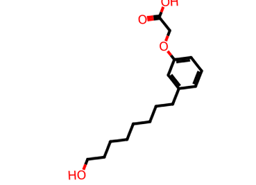 O=C(O)COc1cccc(CCCCCCCCO)c1